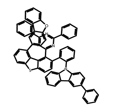 c1ccc(-c2ccc3c(c2)c2ccccc2n3-c2ccccc2-c2ccc3sc4cccc(-c5ccc6oc7ccccc7c6c5)c4c3c2-c2nc(-c3ccccc3)nc(-c3ccccc3)n2)cc1